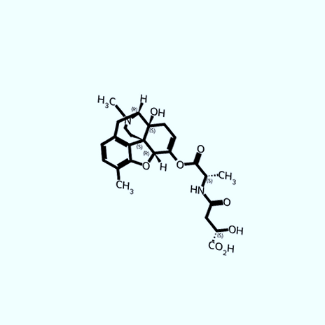 Cc1ccc2c3c1O[C@H]1C(OC(=O)[C@H](C)NC(=O)C[C@H](O)C(=O)O)=CC[C@@]4(O)[C@@H](C2)N(C)CC[C@]314